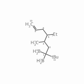 BC(B)(CC(C)C(CC)CC=C)C(C)(C)C